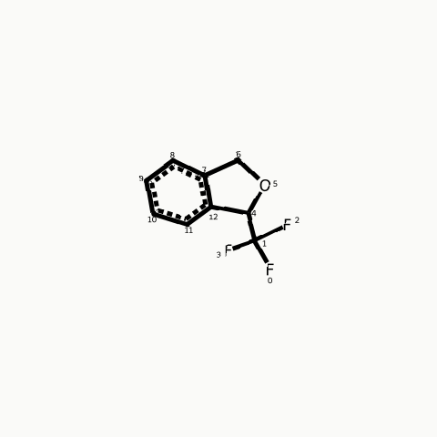 FC(F)(F)C1OCc2ccccc21